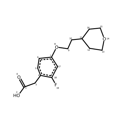 O=C(O)Cc1ccc(OCCC2CCOCC2)cc1F